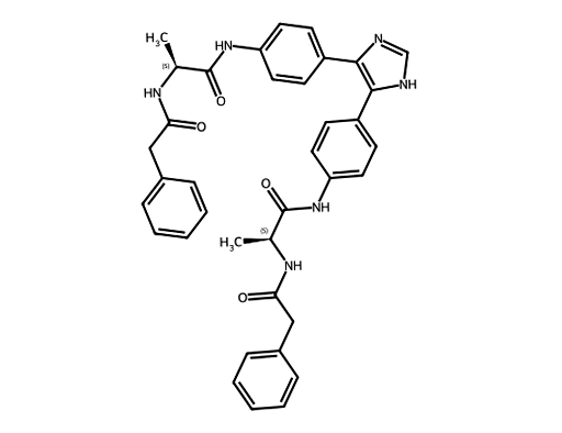 C[C@H](NC(=O)Cc1ccccc1)C(=O)Nc1ccc(-c2nc[nH]c2-c2ccc(NC(=O)[C@H](C)NC(=O)Cc3ccccc3)cc2)cc1